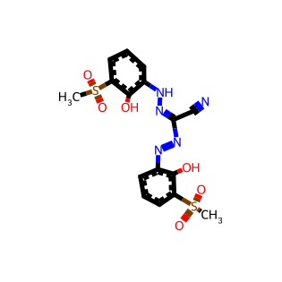 CS(=O)(=O)c1cccc(N=NC(C#N)=NNc2cccc(S(C)(=O)=O)c2O)c1O